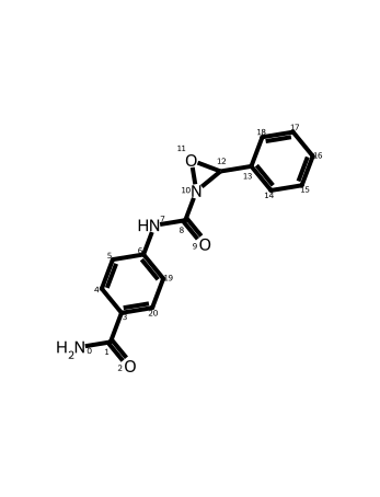 NC(=O)c1ccc(NC(=O)N2OC2c2ccccc2)cc1